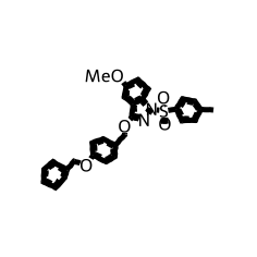 COc1ccc2c(c1)c(OCc1ccc(OCc3ccccc3)cc1)nn2S(=O)(=O)c1ccc(C)cc1